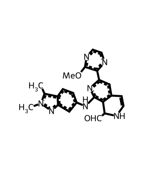 COc1nccnc1-c1cc2c(c(Nc3ccc4c(C)n(C)nc4c3)n1)C(C=O)NC=C2